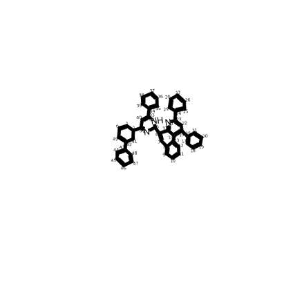 C1=CC(C2=NC(c3cc4ccccc4c4c(-c5ccccc5)cc(-c5ccccc5)nc34)NC(c3ccccc3)=C2)CC(c2ccccc2)=C1